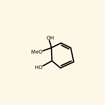 COC1(O)C=CC=CC1O